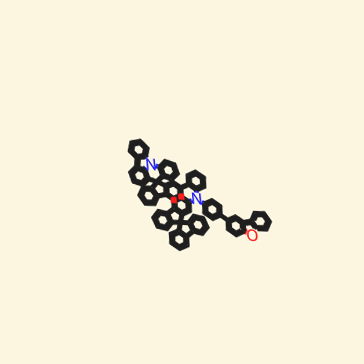 c1ccc(N(c2ccc(-c3ccc4oc5ccccc5c4c3)cc2)c2ccc3c(c2)C2(c4ccccc4-c4ccccc42)c2ccccc2-3)c(-c2ccc3c(c2)C2(c4ccccc4-3)c3ccccc3-n3c4ccccc4c4cccc2c43)c1